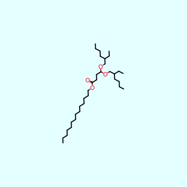 CCCCCCCCCCCCCCOC(=O)CCC(OCC(CC)CCCC)OCC(CC)CCCC